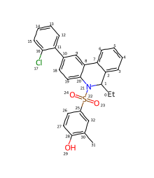 CCC1c2ccccc2-c2cc(-c3ccccc3Cl)ccc2N1S(=O)(=O)c1ccc(O)c(C)c1